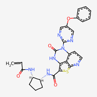 C=CC(=O)N[C@H]1CCC[C@H]1NC(=O)c1sc2nccc3c2c1NC(=O)N3c1ncc(Oc2ccccc2)cn1